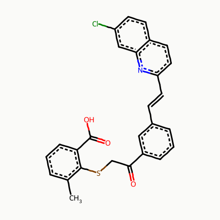 Cc1cccc(C(=O)O)c1SCC(=O)c1cccc(C=Cc2ccc3ccc(Cl)cc3n2)c1